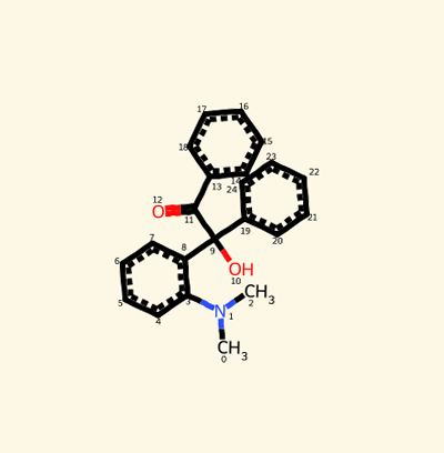 CN(C)c1ccccc1C(O)(C(=O)c1ccccc1)c1ccccc1